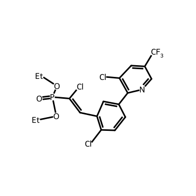 CCOP(=O)(OCC)C(Cl)=Cc1cc(-c2ncc(C(F)(F)F)cc2Cl)ccc1Cl